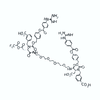 N=C(N)Nc1ccc(C(=O)Oc2ccc(COC(=O)N(Cc3cccc(C(=O)O)c3)[C@@H](CC(=O)O)C(=O)NCCOCCOCCOCCOCCNC(=O)[C@H](CC(=O)OC(=O)C(F)(F)F)N(Cc3cccc(C(=O)O)c3)C(=O)OCc3ccc(OC(=O)c4ccc(NC(=N)N)cc4)cc3)cc2)cc1